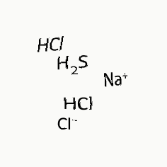 Cl.Cl.S.[Cl-].[Na+]